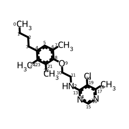 CCCCc1cc(C)c(OCCNc2ncnc(C)c2Cl)c(C)c1C